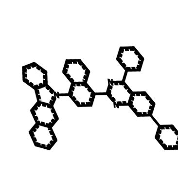 c1ccc(-c2ccc3c(-c4ccccc4)nc(-c4ccc(-n5c6ccccc6c6cc7ccccc7cc65)c5ccccc45)nc3c2)cc1